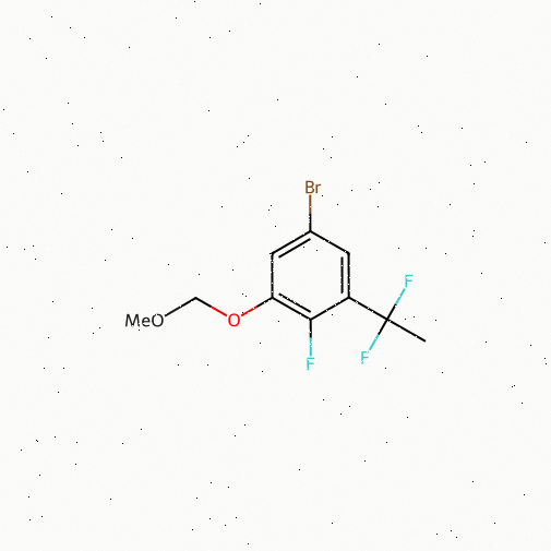 COCOc1cc(Br)cc(C(C)(F)F)c1F